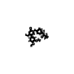 CCC1CC(=O)N(Cc2ccc(NC(=O)C(F)(F)F)cc2)N=C1c1ccc(OC)c(OCF)c1